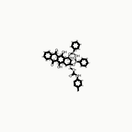 Cc1ccc(NC(=O)OC[C@]2(OB(O)c3ccccc3)Cc3c(O)c4c(c(O)c3[C@@H](OB(O)c3ccccc3)C2)C(=O)c2ccccc2C4=O)cc1